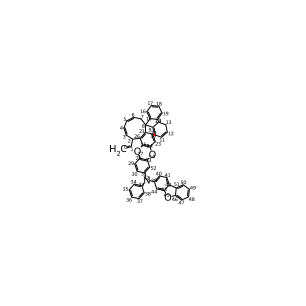 C=CC1/C=C\C=C/CC(C2=CC=CCC2)(c2ccccc2)c2ccc3c(c21)Oc1ccc(N(c2ccccc2)c2ccc4c(c2)oc2ccccc24)cc1O3